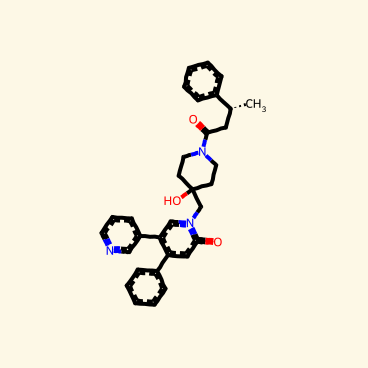 C[C@H](CC(=O)N1CCC(O)(Cn2cc(-c3cccnc3)c(-c3ccccc3)cc2=O)CC1)c1ccccc1